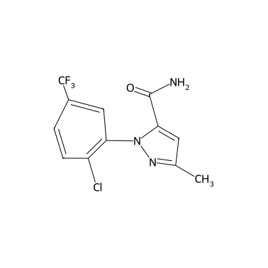 Cc1cc(C(N)=O)n(-c2cc(C(F)(F)F)ccc2Cl)n1